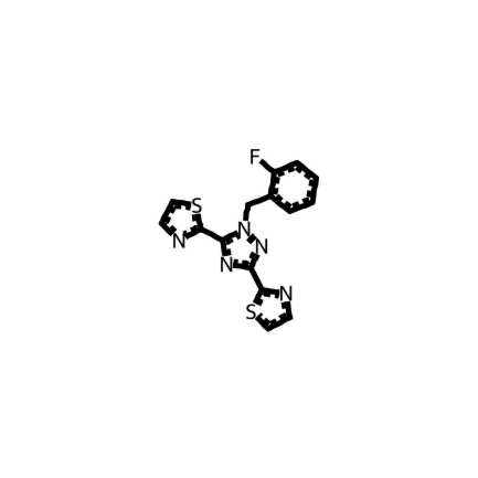 Fc1ccccc1Cn1nc(-c2nccs2)nc1-c1nccs1